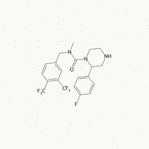 CN(Cc1ccc(C(F)(F)F)c(C(F)(F)F)c1)C(=O)N1CCNCC1c1ccc(F)cc1